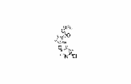 CC(C)(C)OC(=O)N1CCC(Oc2cnc(Cl)nc2)C1